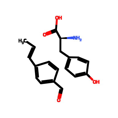 C/C=C/c1ccc(C=O)cc1.N[C@@H](Cc1ccc(O)cc1)C(=O)O